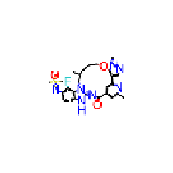 Cc1cc2cc(n1)-c1cnn(C)c1OCCCC(C)CN1/C(=N/C2=O)Nc2ccc(N=S(C)(C)=O)c(F)c21